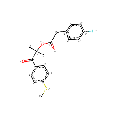 CSc1ccc(C(=O)C(C)(C)OC(=O)Cc2ccc(F)cc2)cc1